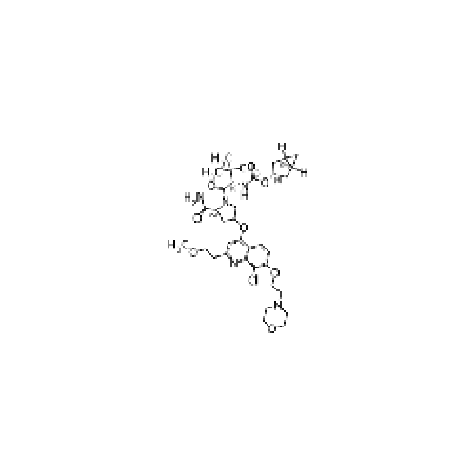 COCCc1cc(OC2C[C@@H](C(N)=O)N(C(=O)[C@@H](NC(=O)O[C@@H]3C[C@@H]4C[C@@H]4C3)C(C)(C)C)C2)c2ccc(OCCN3CCOCC3)c(Cl)c2n1